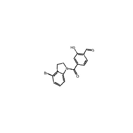 O=Cc1ccc(C(=O)N2CCc3c(Br)cccc32)cc1O